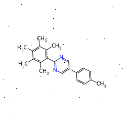 Cc1ccc(-c2cnc(-c3c(C)c(C)c(C)c(C)c3C)nc2)cc1